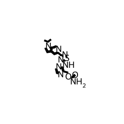 CC(C)n1ccc2cc(-c3nsc(Nc4nccnc4COC(N)=O)n3)ncc21